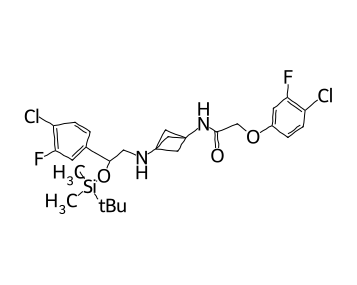 CC(C)(C)[Si](C)(C)OC(CNC12CC(NC(=O)COc3ccc(Cl)c(F)c3)(C1)C2)c1ccc(Cl)c(F)c1